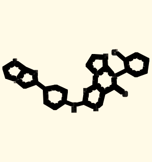 O=c1c2cnc(Nc3ccc(-c4cn5ccsc5n4)cc3)nc2n2ccnc2n1-c1ccccc1Cl